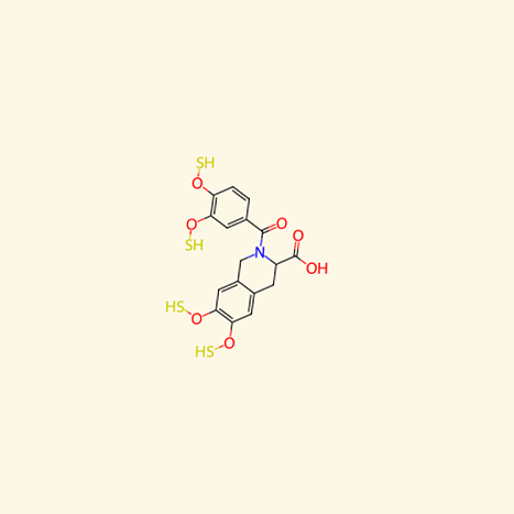 O=C(O)C1Cc2cc(OS)c(OS)cc2CN1C(=O)c1ccc(OS)c(OS)c1